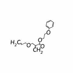 C=CCOCC(=C)C(=O)OCCOc1ccccc1